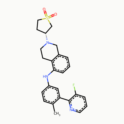 Cc1ccc(Nc2cccc3c2CCN([C@@H]2CCS(=O)(=O)C2)C3)cc1-c1ncccc1F